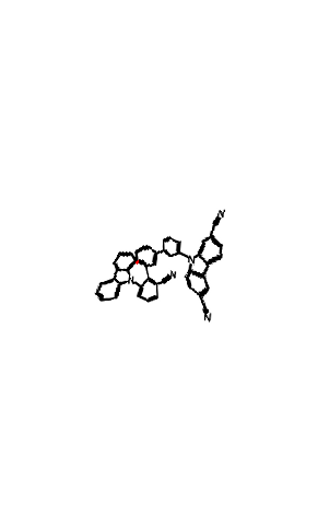 N#Cc1ccc2c(c1)c1ccc(C#N)cc1n2-c1cccc(-c2cccc(-c3c(C#N)cccc3-n3c4ccccc4c4ccccc43)c2)c1